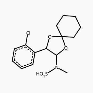 CN(C1OC2(CCCCC2)OC1c1ccccc1Cl)S(=O)(=O)O